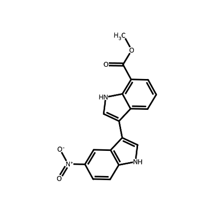 COC(=O)c1cccc2c(-c3c[nH]c4ccc([N+](=O)[O-])cc34)c[nH]c12